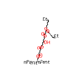 CC/C=C\CCCCOC(CCC(=O)OCCCC(O)CCCOC(=O)CCCCC(=O)OCCC(CCCCC)CCCCC)OCCCC/C=C\CC